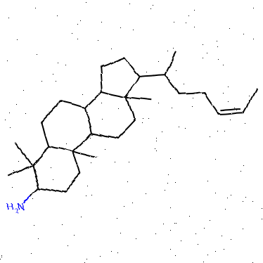 C/C=C\CCC(C)C1CCC2C3CCC4C(C)(C)C(N)CCC4(C)C3CCC12C